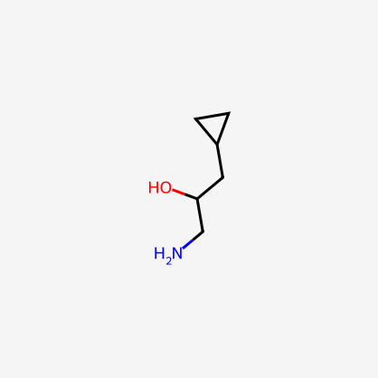 NCC(O)CC1CC1